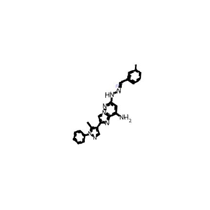 Cc1cccc(/C=N/Nc2cc(N)c3nc(-c4cnn(-c5ccccc5)c4C)cn3n2)c1